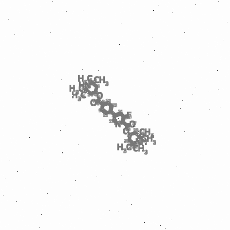 CC1(C)CC(OC(=O)c2ccc(-c3cnc(C(=O)OC4CC(C)(C)NC(C)(C)C4)c(F)c3)cc2)CC(C)(C)N1